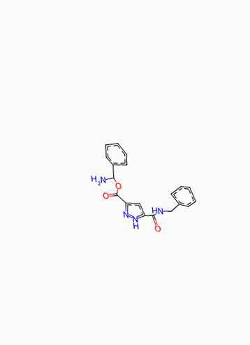 NC(OC(=O)c1cc(C(=O)NCc2ccccc2)[nH]n1)c1ccccc1